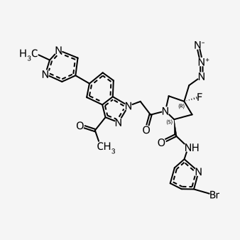 CC(=O)c1nn(CC(=O)N2C[C@@](F)(CN=[N+]=[N-])C[C@H]2C(=O)Nc2cccc(Br)n2)c2ccc(-c3cnc(C)nc3)cc12